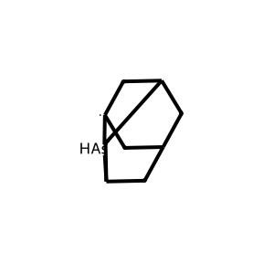 C1[C]2CC3CC1CC(C3)[AsH]2